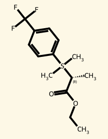 CCOC(=O)[C@@H](C)S(C)(C)c1ccc(C(F)(F)F)cc1